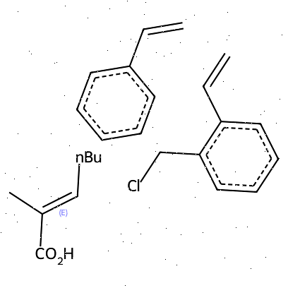 C=Cc1ccccc1.C=Cc1ccccc1CCl.CCCC/C=C(\C)C(=O)O